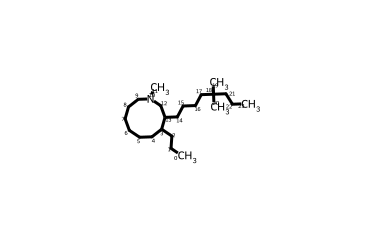 CCCC1CCCCCCN(C)CC1CCCCC(C)(C)CCC